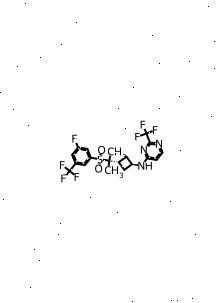 CC(C)([C@H]1C[C@H](Nc2ccnc(C(F)(F)F)n2)C1)S(=O)(=O)c1cc(F)cc(C(F)(F)F)c1